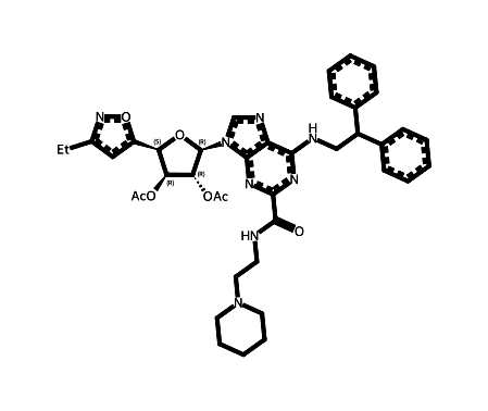 CCc1cc([C@H]2O[C@@H](n3cnc4c(NCC(c5ccccc5)c5ccccc5)nc(C(=O)NCCN5CCCCC5)nc43)[C@H](OC(C)=O)[C@H]2OC(C)=O)on1